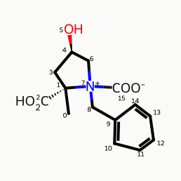 C[C@@]1(C(=O)O)C[C@@H](O)C[N+]1(Cc1ccccc1)C(=O)[O-]